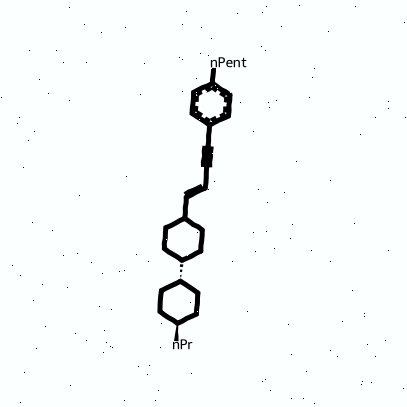 CCCCCc1ccc(C#C/C=C/C2CCC([C@H]3CC[C@H](CCC)CC3)CC2)cc1